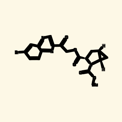 CC(C)(C)OC(=O)N1[C@H](C(=O)OCC(=O)c2cnc3cc(Br)ccc3n2)C[C@@H]2C[C@@H]21